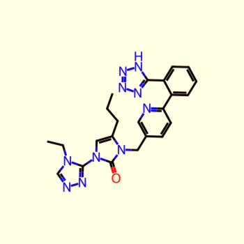 CCCc1cn(-c2nncn2CC)c(=O)n1Cc1ccc(-c2ccccc2-c2nnn[nH]2)nc1